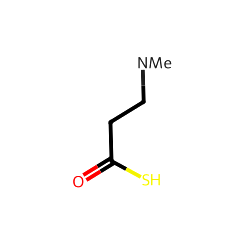 CNCCC(=O)S